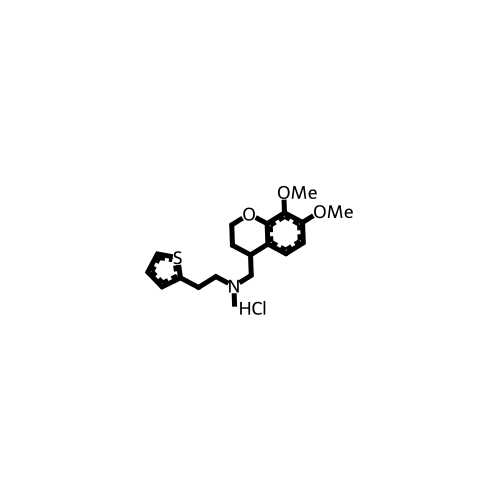 COc1ccc2c(c1OC)OCCC2CN(C)CCc1cccs1.Cl